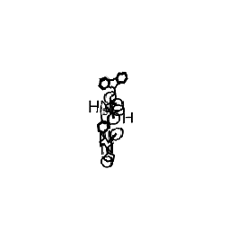 O=C(N[C@@H](Cc1ccc(N2CCN(C3CCOC3)CC2=O)cc1)C(=O)O)OCC1c2ccccc2-c2ccccc21